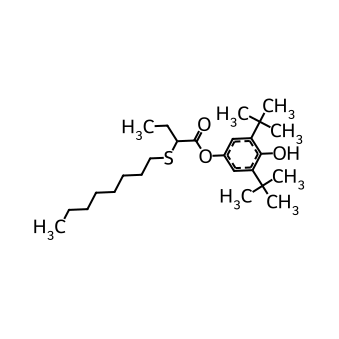 CCCCCCCCSC(CC)C(=O)Oc1cc(C(C)(C)C)c(O)c(C(C)(C)C)c1